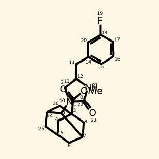 COC(=O)C12CC3CC(C1)C(N1CC(Cc4cccc(F)c4)NC1=O)C(C3)C2